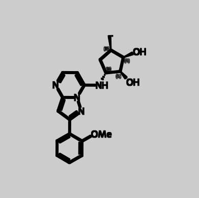 [CH2][C@@H]1C[C@@H](Nc2ccnc3cc(-c4ccccc4OC)nn23)[C@H](O)[C@@H]1O